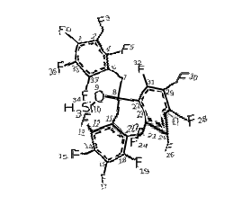 Fc1c(F)c(F)c(CC(O[SiH3])(c2c(F)c(F)c(F)c(F)c2F)c2c(F)c(F)c(F)c(F)c2F)c(F)c1F